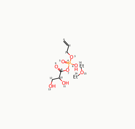 C=CCOP(=O)(O)OC(=O)C(O)CO.CCOCC